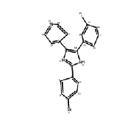 Brc1ccc(-c2nc(-c3ccncc3)c(-c3cccc(I)c3)[nH]2)cc1